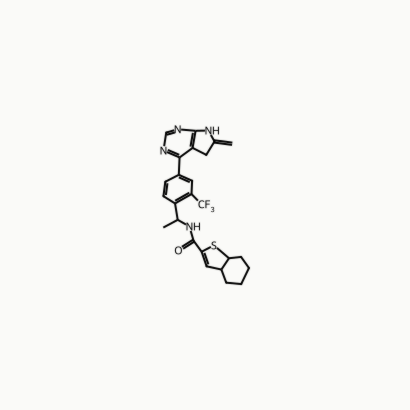 C=C1Cc2c(ncnc2-c2ccc(C(C)NC(=O)C3=CC4CCCCC4S3)c(C(F)(F)F)c2)N1